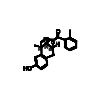 Cc1ccccc1C(=O)N1CC[C@@]2(C)c3cc(O)ccc3C[C@@H]1[C@@H]2C